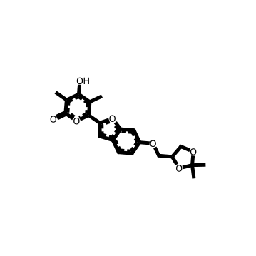 Cc1c(-c2cc3ccc(OCC4COC(C)(C)O4)cc3o2)oc(=O)c(C)c1O